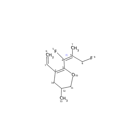 C=CC1=C(/C(F)=C(/C)CF)OCC(C)C1